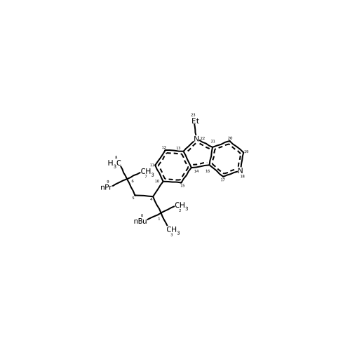 CCCCC(C)(C)C(CC(C)(C)CCC)c1ccc2c(c1)c1cnccc1n2CC